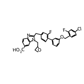 O=C(O)c1ccc2nc(Cc3ccc(-c4cccc(OCc5ccc(Cl)cc5F)c4)c(F)c3)n(CC3CCO3)c2c1